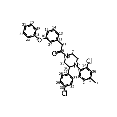 Cc1ccc(N2CCN(C(=O)Cc3cccc(Oc4ccccc4)c3)CC2c2ccc(Cl)cc2)c(Cl)c1